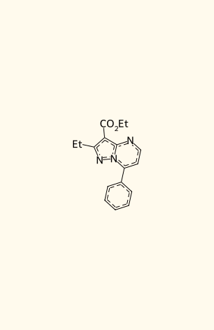 CCOC(=O)c1c(CC)nn2c(-c3ccccc3)ccnc12